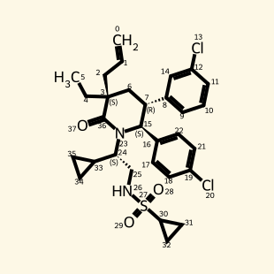 C=CC[C@@]1(CC)C[C@H](c2cccc(Cl)c2)[C@@H](c2ccc(Cl)cc2)N([C@H](CNS(=O)(=O)C2CC2)C2CC2)C1=O